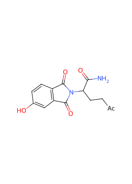 CC(=O)CCC(C(N)=O)N1C(=O)c2ccc(O)cc2C1=O